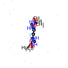 CC#CC[C@H](NC(=O)OC)C(=O)N1CCC[C@H]1c1ncc(-c2ccc(-c3ccc4nc([C@@H]5CCCN5C(=O)C(NC(=O)OC)C(C)C)[nH]c4c3)cc2F)[nH]1